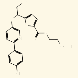 CC(C)(C)CC(Oc1ccc(-c2ccc(C(F)(F)F)cc2)nc1)c1ccc(C(=O)NCCC(=O)O)s1